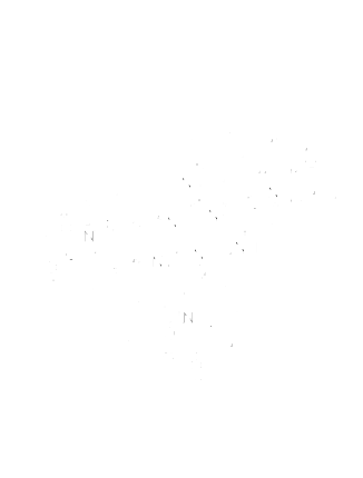 CCCCN(c1nc(NC(CCC)C2CC(C)(C)N(OC(C)=O)C(C)(C)C2)nc(NC(CCC)C2CC(C)(C)N(OC(C)=O)C(C)(C)C2)n1)C1CC(C)(C)N(OC(C)=O)C(C)(C)C1